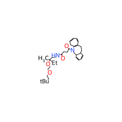 CCC(C)(CCNC(=O)CCC(=O)N1CC2C=CC=CC2CCC2=C1CC=CC=C2)OCCOCCC(C)(C)C